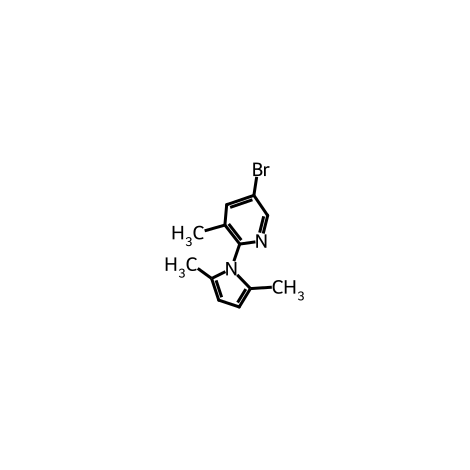 Cc1cc(Br)cnc1-n1c(C)ccc1C